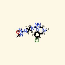 Cc1nc(N2CC3(C2)CN(c2nnc4n2-c2ccc(Cl)cc2CN(C)C4)C3)no1